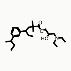 CCC(C)c1cccc(C(CC)CC(C)(C)C(=O)OCC(O)CN(CC)CC)c1